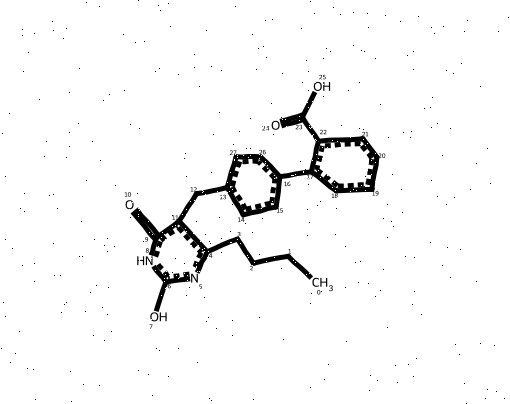 CCCCc1nc(O)[nH]c(=O)c1Cc1ccc(-c2ccccc2C(=O)O)cc1